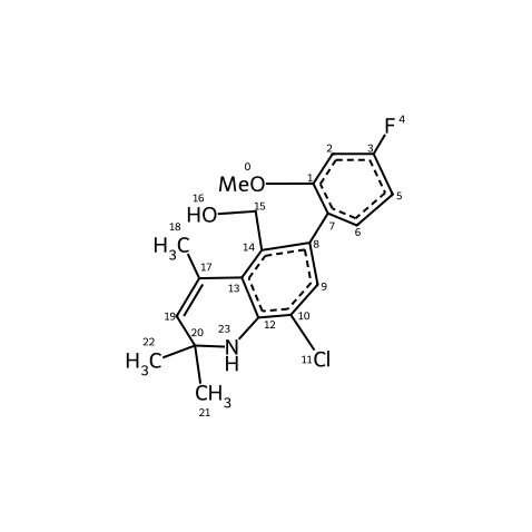 COc1cc(F)ccc1-c1cc(Cl)c2c(c1CO)C(C)=CC(C)(C)N2